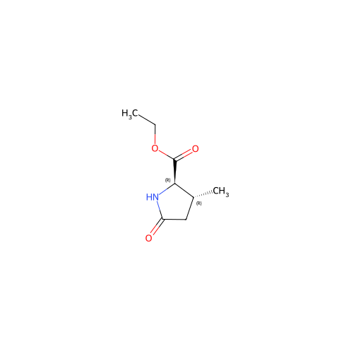 CCOC(=O)[C@@H]1NC(=O)C[C@H]1C